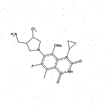 COc1c(N2CC(CN)C(C(F)(F)F)C2)c(F)c(C)c2c(=O)[nH]c(=O)n(C3CC3)c12